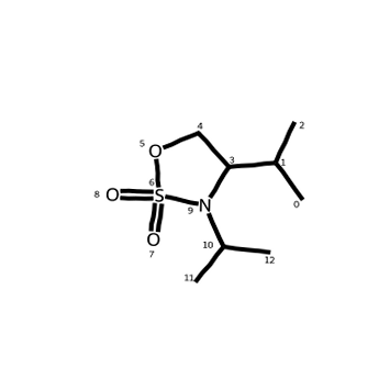 CC(C)C1COS(=O)(=O)N1C(C)C